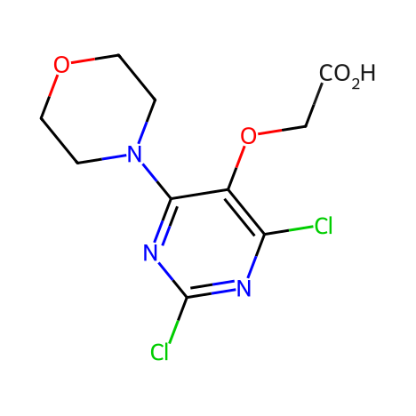 O=C(O)COc1c(Cl)nc(Cl)nc1N1CCOCC1